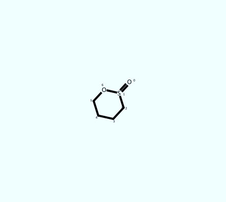 O=S1[C]CCCO1